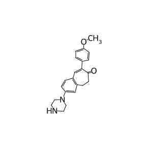 COc1ccc(C2=Cc3ccc(N4CCNCC4)cc3CCC2=O)cc1